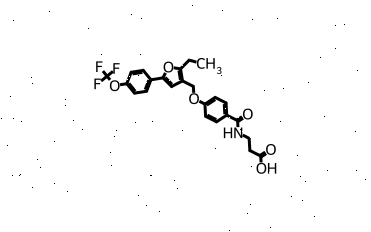 CCc1oc(-c2ccc(OC(F)(F)F)cc2)cc1COc1ccc(C(=O)NCCC(=O)O)cc1